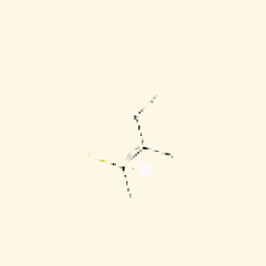 CC/C(C)=C(/C)[S]